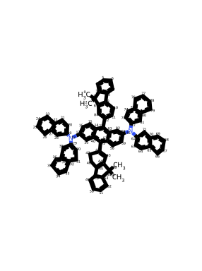 CC1(C)c2ccccc2-c2ccc(-c3c4ccc(N(c5ccc6ccccc6c5)c5ccc6ccccc6c5)cc4c(C4=CC5=C(CC4)C4C=CC=CC4C5(C)C)c4ccc(N(c5ccc6ccccc6c5)c5ccc6ccccc6c5)cc34)cc21